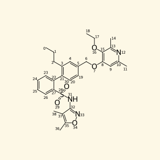 CCCc1cc(COc2cc(C)nc(C)c2OCC)ccc1-c1ccccc1S(=O)(=O)Nc1noc(C)c1C